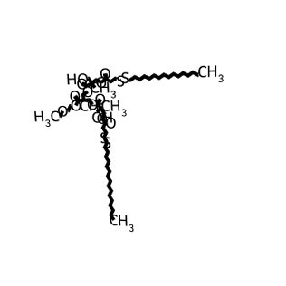 CCCCCCCCCCCCCCCCSSCCC(=O)OCC(C)(CO)C(=O)OCC(C)(COC(=O)C(C)(CO)COC(=O)CCSSCCCCCCCCCCCCCCCC)C(=O)OCCOCC